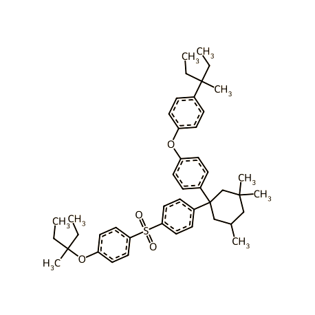 CCC(C)(CC)Oc1ccc(S(=O)(=O)c2ccc(C3(c4ccc(Oc5ccc(C(C)(CC)CC)cc5)cc4)CC(C)CC(C)(C)C3)cc2)cc1